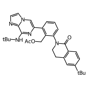 CC(=O)OCc1c(-c2cn3ccnc3c(NC(C)(C)C)n2)cccc1N1CCc2cc(C(C)(C)C)ccc2C1=O